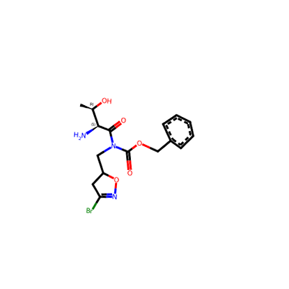 C[C@@H](O)[C@H](N)C(=O)N(CC1CC(Br)=NO1)C(=O)OCc1ccccc1